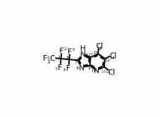 FC(F)(F)C(F)(F)C(F)(F)c1nc2nc(Cl)c(Cl)c(Cl)c2[nH]1